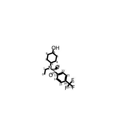 CCN(C1CCC(O)CC1)S(=O)(=O)c1ccc(C(F)(F)F)cc1